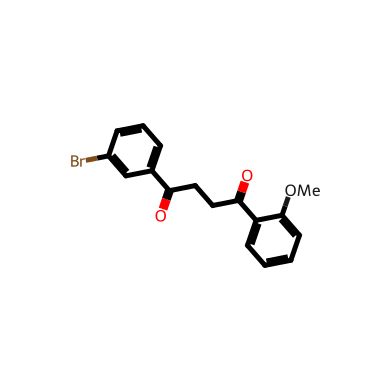 COc1ccccc1C(=O)CCC(=O)c1cccc(Br)c1